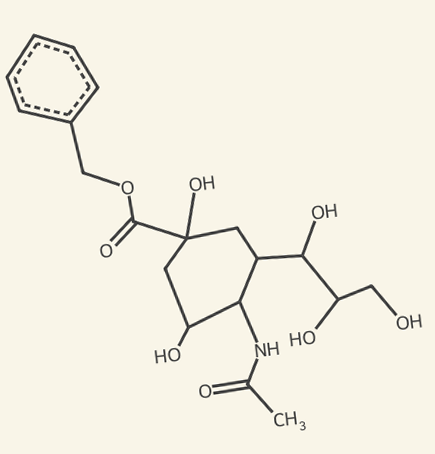 CC(=O)NC1C(O)CC(O)(C(=O)OCc2ccccc2)CC1C(O)C(O)CO